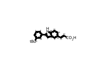 CC(C)(C)c1cccc(-c2cc3cc(/C=C/C(=O)O)ccc3[nH]2)c1